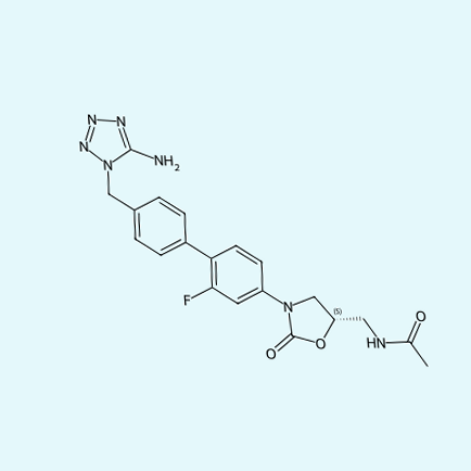 CC(=O)NC[C@H]1CN(c2ccc(-c3ccc(Cn4nnnc4N)cc3)c(F)c2)C(=O)O1